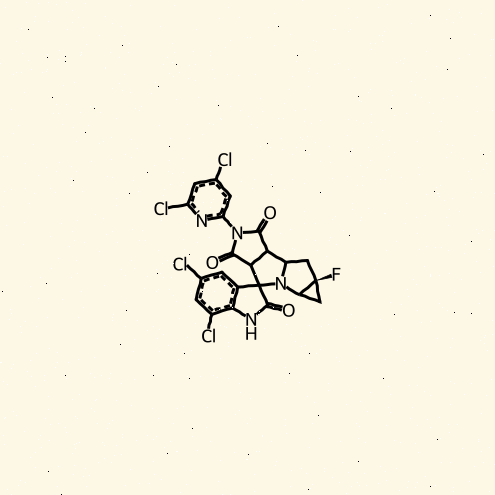 O=C1C2C3C[C@]4(F)CC4N3C3(C(=O)Nc4c(Cl)cc(Cl)cc43)C2C(=O)N1c1cc(Cl)cc(Cl)n1